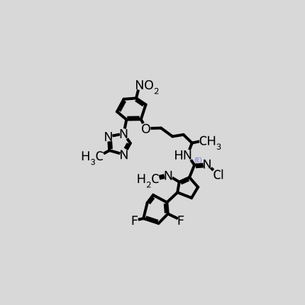 C=NC1=C(/C(=N\Cl)NC(C)CCCOc2cc([N+](=O)[O-])ccc2-n2cnc(C)n2)CCC1c1ccc(F)cc1F